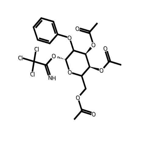 CC(=O)OCC1O[C@H](OC(=N)C(Cl)(Cl)Cl)C(Oc2ccccc2)[C@@H](OC(C)=O)[C@H]1OC(C)=O